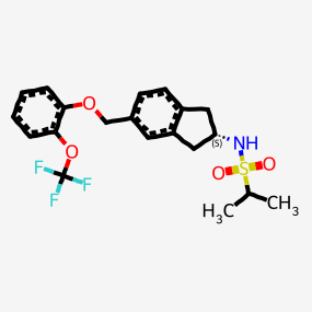 CC(C)S(=O)(=O)N[C@H]1Cc2ccc(COc3ccccc3OC(F)(F)F)cc2C1